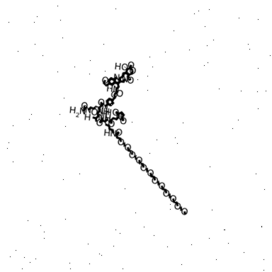 COCCOCCOCCOCCOCCOCCOCCOCCOCCOCCOCCOCCC(=O)NCCCC[C@H](NC(=O)CCN1C(=O)C=CC1=O)C(=O)N[C@H](C(=O)N[C@@H](CCCNC(N)=O)C(=O)Nc1ccc(COC(=O)NCc2c3c(nc4cc5c(cc24)CCO5)-c2cc4c(c(=O)n2C3)COC(=O)[C@H]4O)cc1)C(C)C